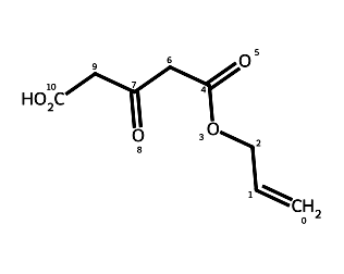 C=CCOC(=O)CC(=O)CC(=O)O